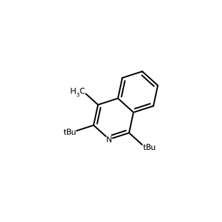 Cc1c(C(C)(C)C)nc(C(C)(C)C)c2ccccc12